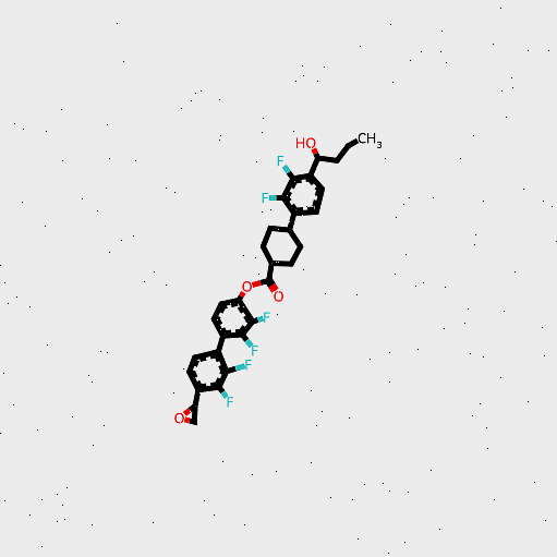 CCCC(O)c1ccc(C2CCC(C(=O)Oc3ccc(-c4ccc(C5CO5)c(F)c4F)c(F)c3F)CC2)c(F)c1F